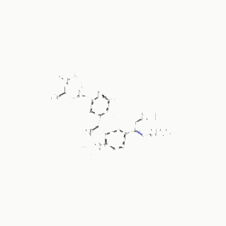 CN/C=C(\C=N)c1ccc(N)c(C(=N)c2ccnc(N3CCN(C)C(=O)C3)c2)c1